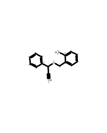 C#CC(OCc1ccccc1N)c1ccccc1